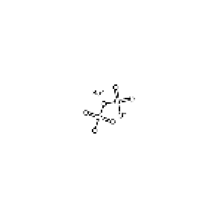 [Ba+2].[O]=[Cr](=[O])([O-])[O][Cr](=[O])(=[O])[O-]